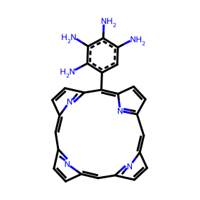 Nc1cc(C2=C3C=CC(=N3)C=C3C=CC(=N3)C=C3C=CC(=N3)C=C3C=CC2=N3)c(N)c(N)c1N